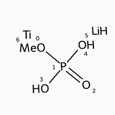 COP(=O)(O)O.[LiH].[Ti]